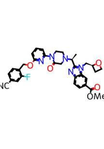 COC(=O)c1ccc2nc([C@H](C)N3CCN(c4cccc(OCc5ccc(C#N)cc5F)n4)C(=O)C3)n(C[C@@H]3CCO3)c2c1